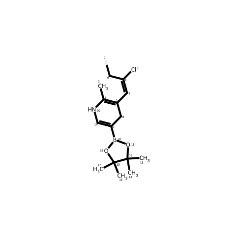 CC1=C(/C=C(/Cl)CI)CC(B2OC(C)(C)C(C)(C)O2)=CN1